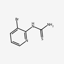 NC(=S)Nc1ncccc1Br